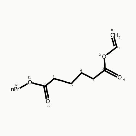 C=COC(=O)CCCCC(=O)OCCC